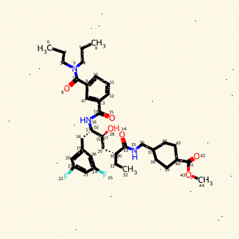 CCCN(CCC)C(=O)c1cccc(C(=O)N[C@@H](Cc2cc(F)cc(F)c2)[C@@H](O)C[C@@H](CC)C(=O)NCC2CCC(C(=O)OC)CC2)c1